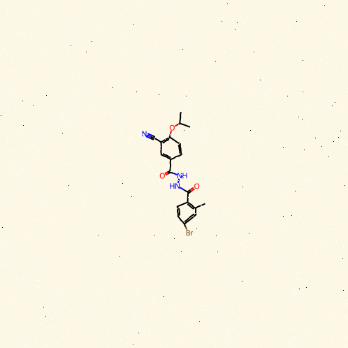 Cc1cc(Br)ccc1C(=O)NNC(=O)c1ccc(OC(C)C)c(C#N)c1